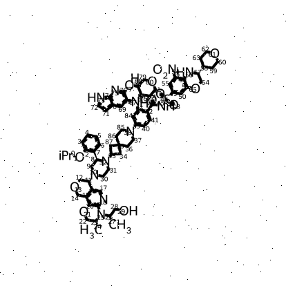 CC(C)Oc1ccccc1[C@@H]1CN([C@@H]2COCc3c2cnc2c3OC[C@@H](C)N2[C@H](C)CO)CCN1C1CC2(CCN(c3ccc(C(=O)NS(=O)(=O)c4cc5c(c([N+](=O)[O-])c4)N[C@H](C4CCOCC4)CO5)c(N4c5cc6cc[nH]c6nc5O[C@H]5COCC[C@@H]54)c3)CC2)C1